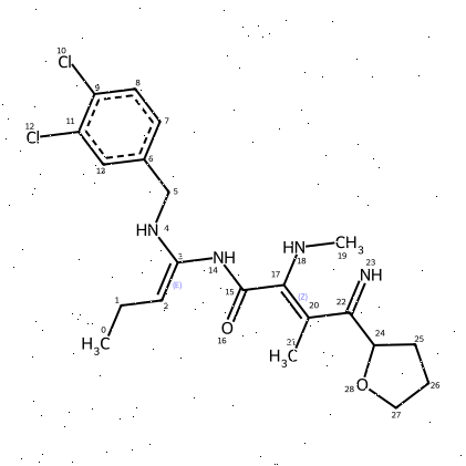 CC/C=C(\NCc1ccc(Cl)c(Cl)c1)NC(=O)/C(NC)=C(\C)C(=N)C1CCCO1